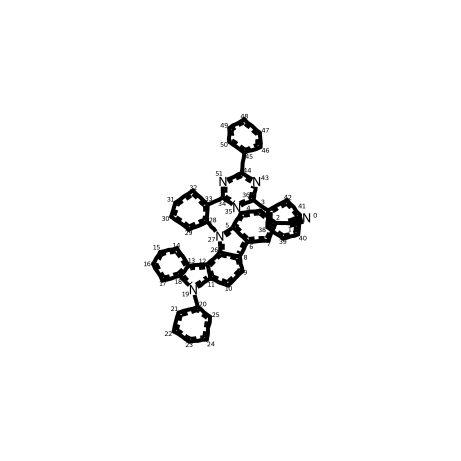 N#Cc1ccc2c(c1)c1ccc3c(c4ccccc4n3-c3ccccc3)c1n2-c1ccccc1-c1nc(-c2ccccc2)nc(-c2ccccc2)n1